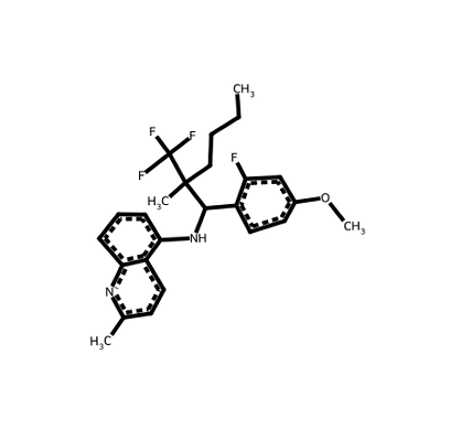 CCCCC(C)(C(Nc1cccc2nc(C)ccc12)c1ccc(OC)cc1F)C(F)(F)F